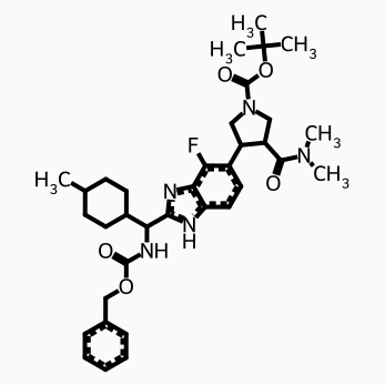 CC1CCC(C(NC(=O)OCc2ccccc2)c2nc3c(F)c(C4CN(C(=O)OC(C)(C)C)CC4C(=O)N(C)C)ccc3[nH]2)CC1